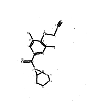 C#CCOc1c(C)cc(C(=O)N2C3CCCCC32)cc1C